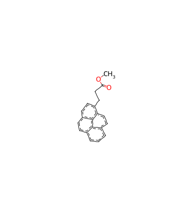 COC(=O)CCc1ccc2ccc3cccc4ccc1c2c34